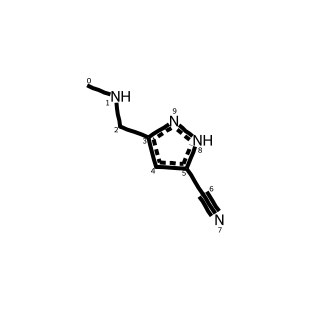 CNCc1cc(C#N)[nH]n1